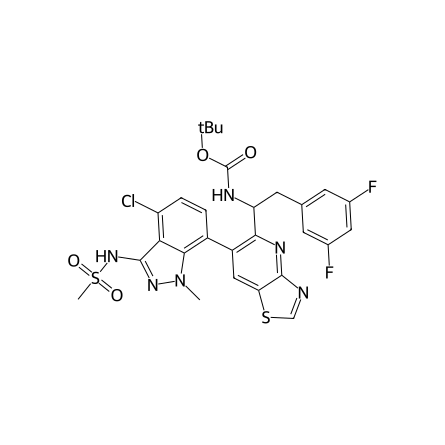 Cn1nc(NS(C)(=O)=O)c2c(Cl)ccc(-c3cc4scnc4nc3C(Cc3cc(F)cc(F)c3)NC(=O)OC(C)(C)C)c21